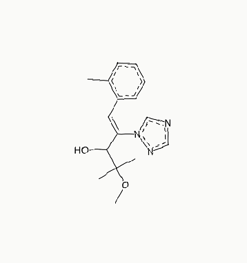 COC(C)(C)C(O)C(=Cc1ccccc1C)n1cncn1